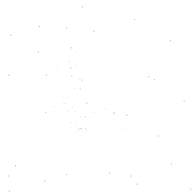 CC(C)(C)OC(=O)NCc1ccc(N2C(=O)C(CC(=O)NCc3ccccc3F)C(=O)N(Cc3ccc(O)cc3)c3ccccc32)cc1